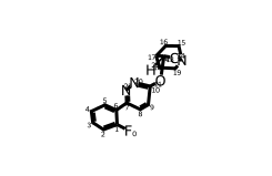 Fc1ccccc1-c1ccc(O[C@H]2CN3CCC2CC3)nn1